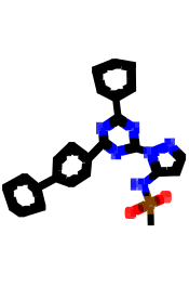 CS(=O)(=O)Nc1ccnn1-c1nc(-c2ccccc2)nc(-c2ccc(-c3ccccc3)cc2)n1